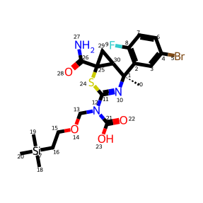 C[C@]1(c2cc(Br)ccc2F)N=C(N(COCC[Si](C)(C)C)C(=O)O)SC2(C(N)=O)CC21